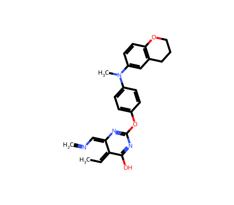 C=N/C=c1/nc(Oc2ccc(N(C)c3ccc4c(c3)CCCO4)cc2)nc(O)/c1=C/C